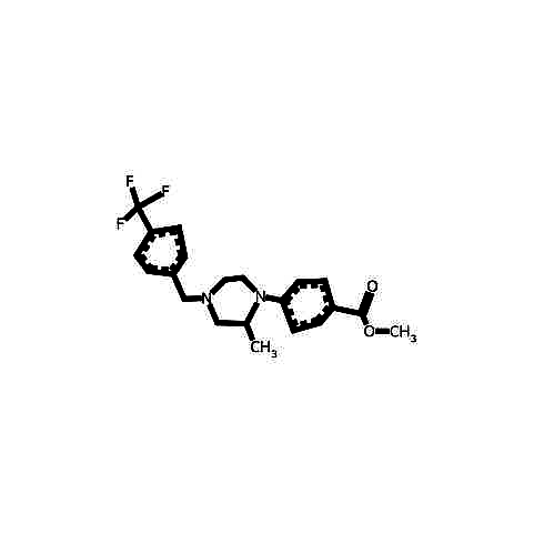 COC(=O)c1ccc(N2CCN(Cc3ccc(C(F)(F)F)cc3)CC2C)cc1